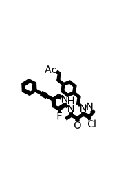 CC(=O)CCC1CCC(CCn2ncc(Cl)c2C(=O)C(C)Nc2ncc(C#Cc3ccccc3)cc2F)CC1